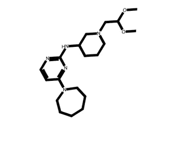 COC(CN1CCCC(Nc2nccc(N3CCCCCC3)n2)C1)OC